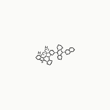 CC1(C)c2ccc(-c3c4ccccc4c(-c4ccc5ccccc5c4)c4ccccc34)cc2-c2c1c1c3ccccc3sc1c1ccccc21